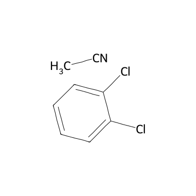 CC#N.Clc1ccccc1Cl